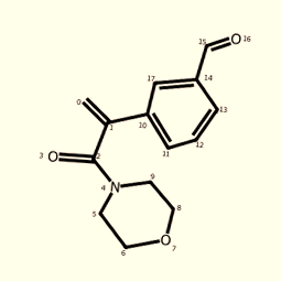 C=C(C(=O)N1CCOCC1)c1cc[c]c(C=O)c1